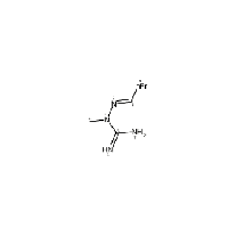 CCCC=NN(C)C(=N)N